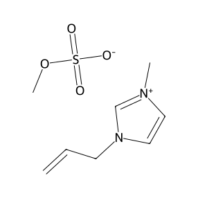 C=CCn1cc[n+](C)c1.COS(=O)(=O)[O-]